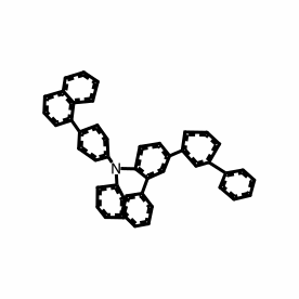 c1ccc(-c2cccc(-c3ccc(N(c4ccccc4)c4ccc(-c5cccc6ccccc56)cc4)c(-c4ccccc4)c3)c2)cc1